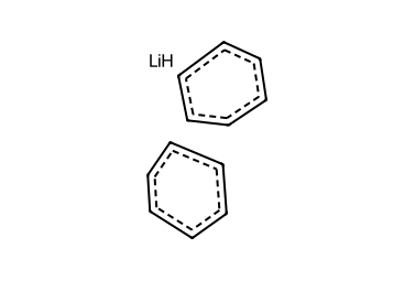 [LiH].c1ccccc1.c1ccccc1